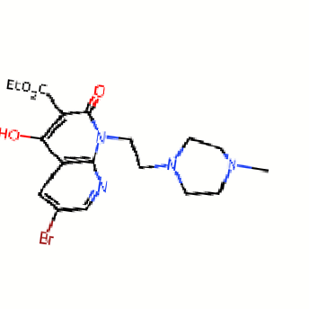 CCOC(=O)c1c(O)c2cc(Br)cnc2n(CCN2CCN(C)CC2)c1=O